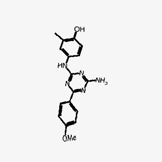 COc1ccc(-c2nc(N)nc(Nc3ccc(O)c(C)c3)n2)cc1